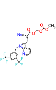 COC(=O)OCOC(=O)/C(C#N)=C/c1cn(Cc2cc(C(F)(F)F)cc(C(F)(F)F)c2)c2ncccc12